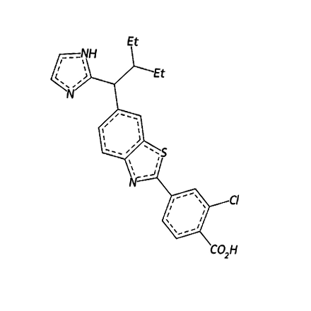 CCC(CC)C(c1ccc2nc(-c3ccc(C(=O)O)c(Cl)c3)sc2c1)c1ncc[nH]1